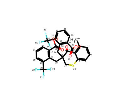 Cc1cccc2c1C(=O)C(Cc1c(C(=O)O)cccc1C(F)(F)F)(Cc1c(C(=O)O)cccc1C(F)(F)F)CS2